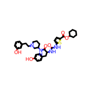 O=C(Nc1ccc(C(=O)OC2CCCCC2)s1)NC(Cc1ccc(O)cc1)C(=O)NC1CCCN(CCc2cccc(O)c2)C1